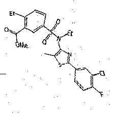 CCc1ccc(S(=O)(=O)N(CC)c2nc(-c3ccc(F)c(Cl)c3)sc2C)cc1C(=O)OC